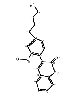 CCCCCc1ccc(-c2cc3ccccc3oc2=O)c(OC)c1